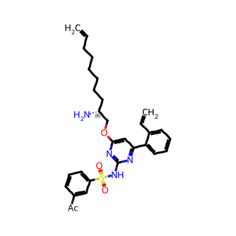 C=CCCCCCC[C@@H](N)COc1cc(-c2ccccc2C=C)nc(NS(=O)(=O)c2cccc(C(C)=O)c2)n1